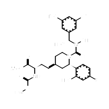 COC(=O)[C@@H](C/C=C1\CCN(C(=O)N(C)[C@H](C)c2cc(C(F)(F)F)cc(C(F)(F)F)c2)[C@@H](c2ccc(F)cc2C)C1)NC(=O)OC(C)(C)C